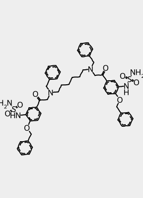 NS(=O)(=O)Nc1cc(C(=O)CN(CCCCCCN(CC(=O)c2ccc(OCc3ccccc3)c(NS(N)(=O)=O)c2)Cc2ccccc2)Cc2ccccc2)ccc1OCc1ccccc1